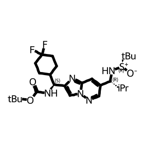 CC(C)[C@@H](N[S@@+]([O-])C(C)(C)C)c1cnn2cc([C@@H](NC(=O)OC(C)(C)C)C3CCC(F)(F)CC3)nc2c1